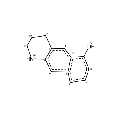 Oc1cccc2cc3c(cc12)CCCN3